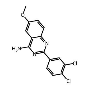 COc1ccc2nc(-c3ccc(Cl)c(Cl)c3)nc(N)c2c1